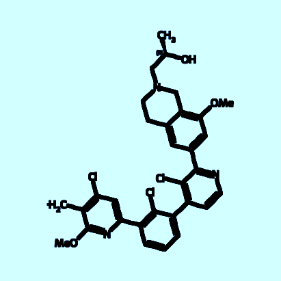 [CH2]c1c(Cl)cc(-c2cccc(-c3ccnc(-c4cc5c(c(OC)c4)CN(C[C@@H](C)O)CC5)c3Cl)c2Cl)nc1OC